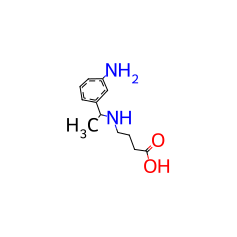 CC(NCCCC(=O)O)c1cccc(N)c1